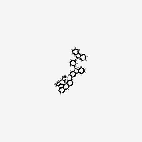 c1ccc2c(c1)Sc1ccc(-c3ccc4c(c3)c3ccccc3n4-c3cc(-n4c5ccccc5c5ccccc54)ccn3)cc1C21c2cccnc2-c2ncccc21